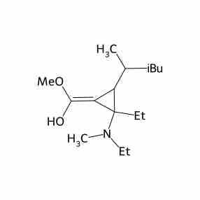 CCC(C)C(C)C1/C(=C(/O)OC)C1(CC)N(C)CC